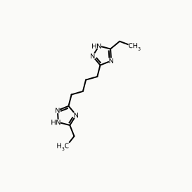 CCc1nc(CCCCc2n[nH]c(CC)n2)n[nH]1